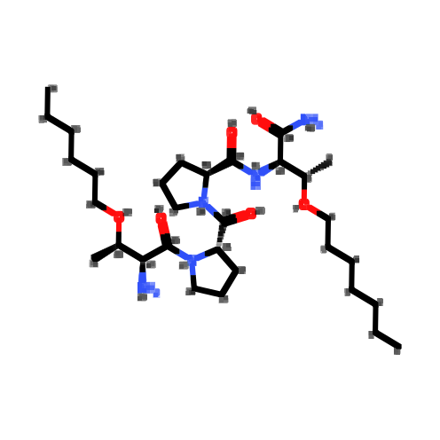 CCCCCCCO[C@@H](C)[C@@H](NC(=O)[C@@H]1CCCN1C(=O)[C@@H]1CCCN1C(=O)[C@@H](N)[C@@H](C)OCCCCCC)C(N)=O